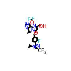 OCc1cc(OCc2ccc(-c3nc(C(F)(F)F)cn3C3CC3)c(F)c2)nc(-c2c(OC(F)F)ncnc2C2CC2)n1